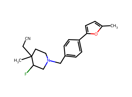 Cc1ccc(-c2ccc(CN3CCC(C)(CC#N)C(F)C3)cc2)o1